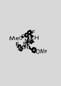 C#Cc1c(F)ccc2cc(OCOC)cc(C(=O)c3nc4nc(OC[C@@]56CCCN5C[C@H](F)C6)nc(SCc5ccc(OC)cc5)c4n3C3CCC3)c12